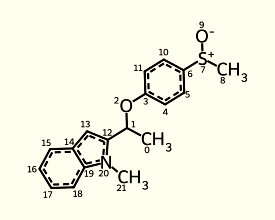 CC(Oc1ccc([S+](C)[O-])cc1)c1cc2ccccc2n1C